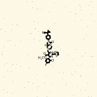 COC(=O)C1=C(CN2CCN3C(=O)N(c4ccc(C5(C#N)CC5)cc4)C[C@@H]3C2)NC(c2nccs2)=N[C@H]1c1ccc(F)cc1Cl